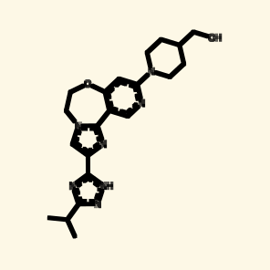 CC(C)c1n[nH]c(-c2cn3c(n2)-c2cnc(N4CCC(CO)CC4)cc2OCC3)n1